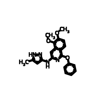 COc1ccc2c(Oc3ccccc3)nc(Nc3cc(C)[nH]n3)cc2c1OC